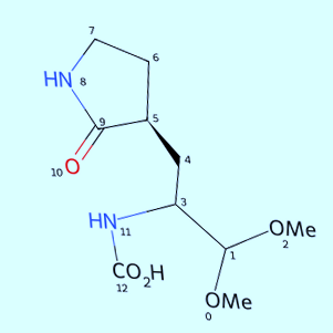 COC(OC)C(C[C@@H]1CCNC1=O)NC(=O)O